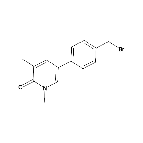 Cc1cc(-c2ccc(CBr)cc2)cn(C)c1=O